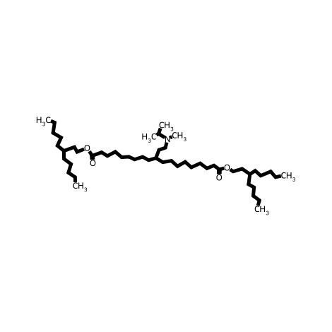 CCCCCC(CCCCC)CCOC(=O)CCCCCCCCC(CCCCCCCCC(=O)OCCC(CCCCC)CCCCC)CCN(C)C(C)C